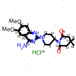 COc1cc2nc(N3CCC(N4C(=O)CC(C)(C)CC4=O)CC3)nc(N)c2cc1OC.Cl